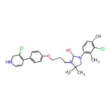 Cc1c(N2CC(C)(C)N(CCCOc3ccc(C4=C(Cl)CNC=C4)cc3)C2O)ccc(C#N)c1Cl